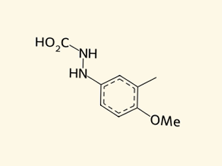 COc1ccc(NNC(=O)O)cc1C